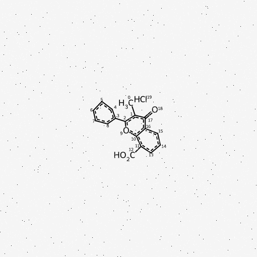 Cc1c(-c2ccccc2)oc2c(C(=O)O)cccc2c1=O.Cl